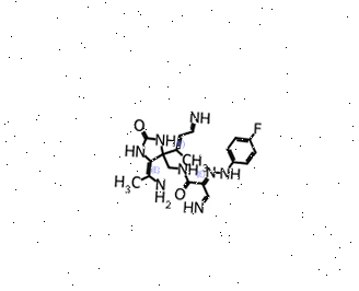 C/C(=C\C=N)C1(CNC(=O)/C(C=N)=N/Nc2ccc(F)cc2)NC(=O)N/C1=C(\C)N